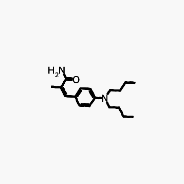 CCCCN(CCCC)c1ccc(C=C(C)C(N)=O)cc1